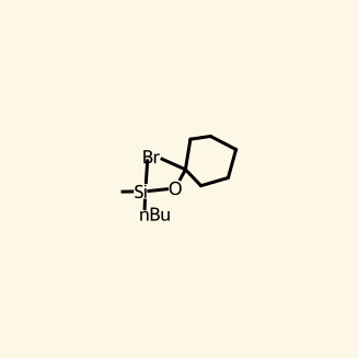 CCCC[Si](C)(C)OC1(Br)CCCCC1